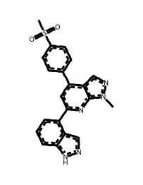 Cn1ncc2c(-c3ccc(S(C)(=O)=O)cc3)cc(-c3cccc4[nH]ncc34)nc21